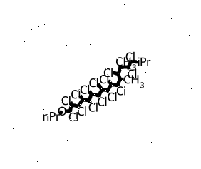 CCCOC(Cl)C(Cl)C(Cl)C(Cl)C(Cl)C(Cl)C(Cl)C(Cl)C(Cl)C(Cl)C(Cl)C(C)C(Cl)C(C)C(Cl)C(Cl)C(C)C